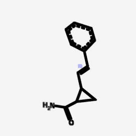 NC(=O)C1CC1/C=C/c1ccccc1